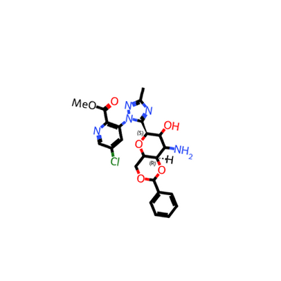 COC(=O)c1ncc(Cl)cc1-n1nc(C)nc1[C@@H]1OC2COC(c3ccccc3)O[C@@H]2C(N)C1O